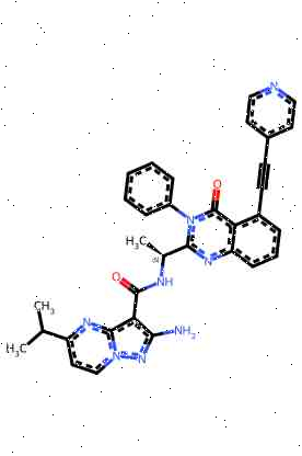 CC(C)c1ccn2nc(N)c(C(=O)N[C@@H](C)c3nc4cccc(C#Cc5ccncc5)c4c(=O)n3-c3ccccc3)c2n1